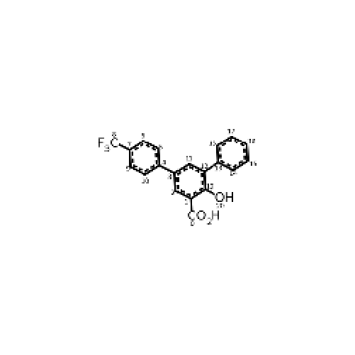 O=C(O)c1cc(-c2ccc(C(F)(F)F)cc2)cc(-c2ccccc2)c1O